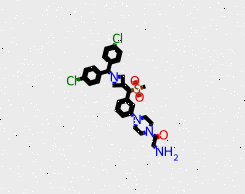 CS(=O)(=O)C(=C1CN(C(c2ccc(Cl)cc2)c2ccc(Cl)cc2)C1)c1cccc(N2CCN(C(=O)CN)CC2)c1